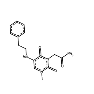 Cn1cc(NCCc2ccccc2)c(=O)n(CC(N)=O)c1=O